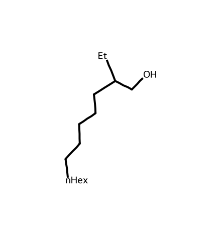 CCCCCCCCCCCC(CC)CO